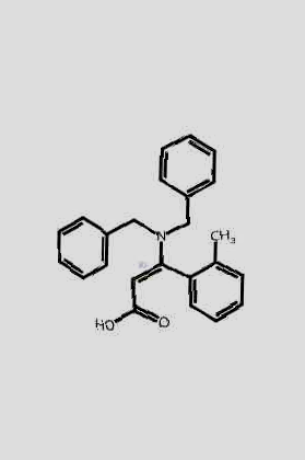 Cc1ccccc1/C(=C\C(=O)O)N(Cc1ccccc1)Cc1ccccc1